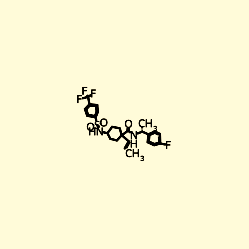 C/C=C/C1(C(=O)N[C@H](C)c2ccc(F)cc2)CCC(NS(=O)(=O)c2ccc(C(F)(F)F)cc2)CC1